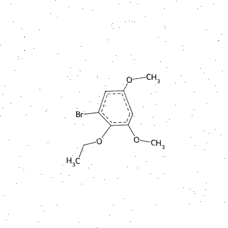 CCOc1c(Br)cc(OC)cc1OC